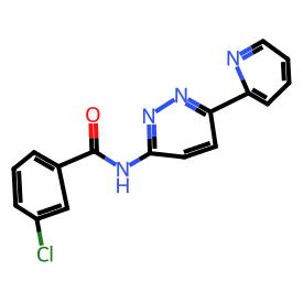 O=C(Nc1ccc(-c2ccccn2)nn1)c1cccc(Cl)c1